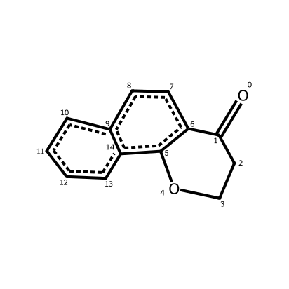 O=C1CCOc2c1ccc1ccccc21